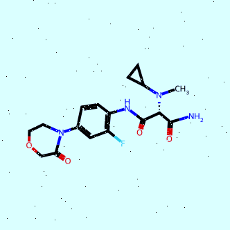 CN(C1CC1)[C@H](C(N)=O)C(=O)Nc1ccc(N2CCOCC2=O)cc1F